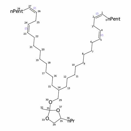 CCCCC/C=C\C/C=C\CCCCCCCCC(CCCCCCCC/C=C\C/C=C\CCCCC)COC1(C)OCC(CCC)O1